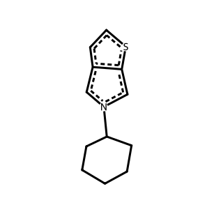 c1cc2cn(C3CCCCC3)cc2s1